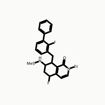 CCn1ccc2c(c1=O)C(Cc1cccc(-c3ccccc3)c1F)C(NSC)CC2F